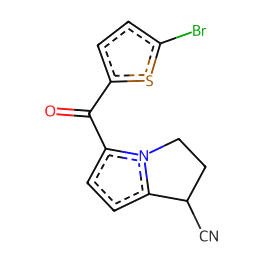 N#CC1CCn2c(C(=O)c3ccc(Br)s3)ccc21